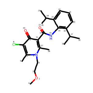 COCCn1c(C)c(Cl)c(=O)c(C(=O)Nc2c(C(C)C)cccc2C(C)C)c1C